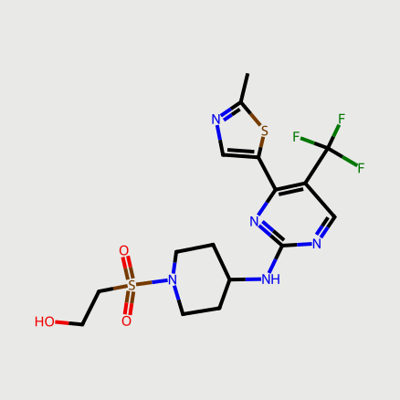 Cc1ncc(-c2nc(NC3CCN(S(=O)(=O)CCO)CC3)ncc2C(F)(F)F)s1